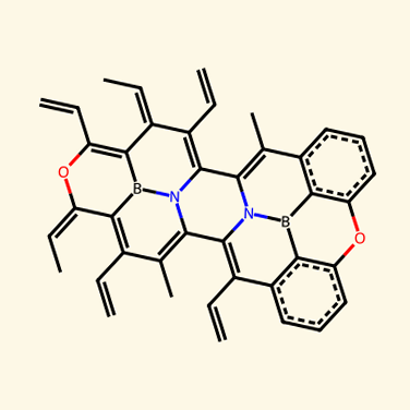 C=CC1=C2B3C(=C(C=C)C(C)=C4C5=C(C=C)c6cccc7c6B6c8c(cccc8C(C)=C(C(=C(C=C)/C2=C/C)N34)N65)O7)/C(=C\C)O1